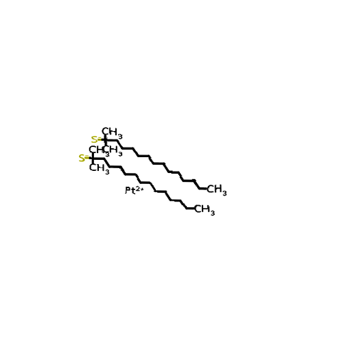 CCCCCCCCCCCCCC(C)(C)[S-].CCCCCCCCCCCCCC(C)(C)[S-].[Pt+2]